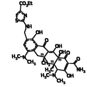 CCOC(=O)c1csc(NCc2cc(N(C)C)c3c(c2O)C(=O)C2=C(O)[C@]4(O)C(=O)C(C(N)=O)=C(O)C(N(C)C)[C@]4(C)C[C@]2(C)C3)n1